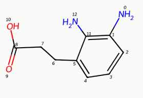 Nc1cccc(CCC(=O)O)c1N